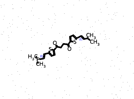 CC(C)/C=C/c1ccc(C(=O)CCC(=O)c2ccc(/C=C/P(C)C)s2)s1